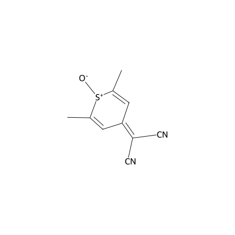 CC1=CC(=C(C#N)C#N)C=C(C)[S+]1[O-]